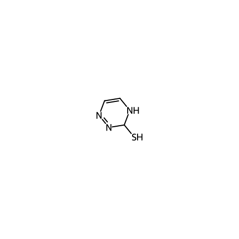 SC1N=NC=CN1